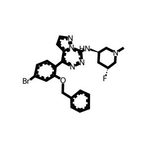 CN1C[C@H](F)C[C@@H](Nc2nnc(-c3ccc(Br)cc3OCc3ccccc3)c3ccnn23)C1